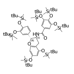 CC(C)(C)[Si](C)(C)Oc1cc2c(c(O[Si](C)(C)C(C)(C)C)c1)C[C@H](NC(=O)c1cc(O[Si](C)(C)C(C)(C)C)c(O[Si](C)(C)C(C)(C)C)c(O[Si](C)(C)C(C)(C)C)c1)[C@@H](c1ccc(O[Si](C)(C)C(C)(C)C)c(O[Si](C)(C)C(C)(C)C)c1)O2